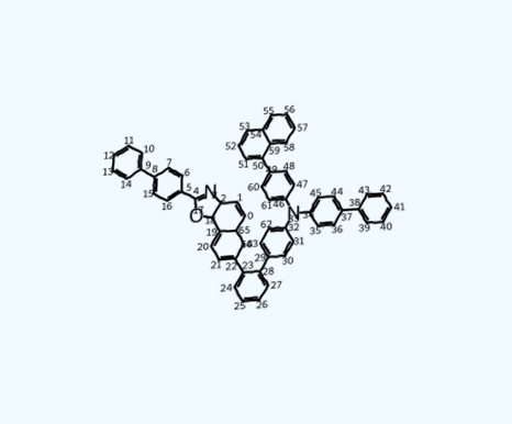 C1=CC2N=C(c3ccc(-c4ccccc4)cc3)OC2C2=CC=C(c3ccccc3-c3ccc(N(c4ccc(-c5ccccc5)cc4)c4ccc(-c5cccc6ccccc56)cc4)cc3)CC12